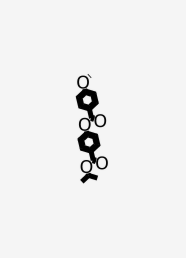 COc1ccc(C(=O)Oc2ccc(C(=O)OC(C)C)cc2)cc1